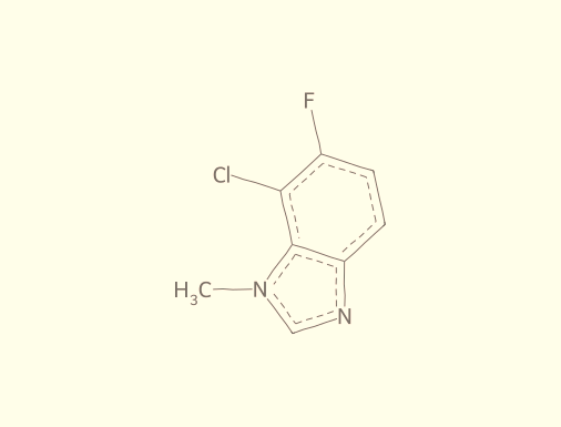 Cn1cnc2ccc(F)c(Cl)c21